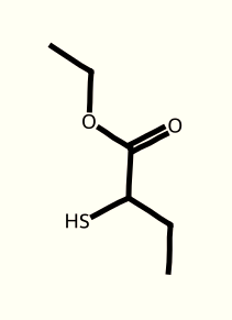 CCOC(=O)C(S)CC